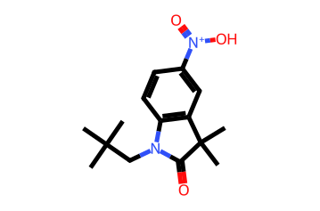 CC(C)(C)CN1C(=O)C(C)(C)c2cc([N+](=O)O)ccc21